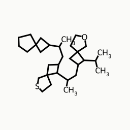 CC(C)C1C(CC(C)C2C(CC(C)C3CC4(CCCC4)C3)CC23CCSC3)CC12CCOC2